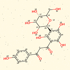 O=C(CC(=O)c1c(O)cc(O)c([C@@H]2OC(CO)[C@@H](O)C(O)C2O)c1O)c1ccc(O)cc1